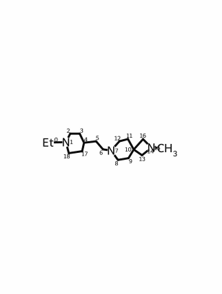 CCN1CCC(CCN2CCC3(CC2)CN(C)C3)CC1